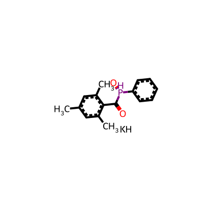 Cc1cc(C)c(C(=O)[PH](=O)c2ccccc2)c(C)c1.[KH]